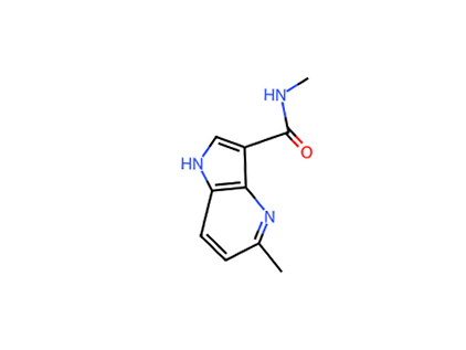 CNC(=O)c1c[nH]c2ccc(C)nc12